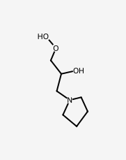 OOCC(O)CN1CCCC1